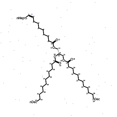 CCCCCCC/C=C\CCCCCCCC(=O)OC[C@H](COC(=O)CCCCCCCCCCCCCCCCCCCC)OC(=O)CCCCCCCCCCCCCCCCCCCC